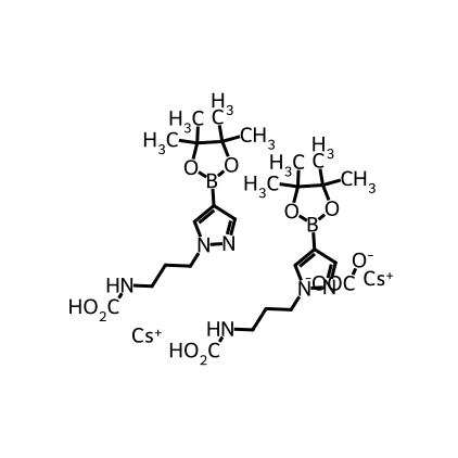 CC1(C)OB(c2cnn(CCCNC(=O)O)c2)OC1(C)C.CC1(C)OB(c2cnn(CCCNC(=O)O)c2)OC1(C)C.O=C([O-])[O-].[Cs+].[Cs+]